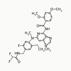 CCc1cc(CNC(=O)C(F)F)c(F)cc1N(C)c1cc2c(ncn2C)c(NC(=O)c2ccc(OC)cc2OC)n1